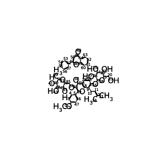 COc1ccc(-c2oc3c(CC=C(C)C)c(O[C@@H]4O[C@H](CO)[C@@H](O)[C@H](O)[C@H]4O)ccc3c(=O)c2OC[C@@H]2O[C@@H](C)[C@H](O)[C@@H](O)[C@H]2O)cc1.O=c1cc(-c2ccccc2)oc2ccccc12